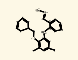 Cc1cc(C)c(OCC2C=CC=CC2)c(Pc2ccccc2/C=N/C(C)(C)C)c1